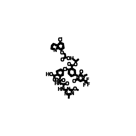 CC(C)OC(=O)c1cc(-n2c(=O)cc(C(F)(F)F)n(C)c2=O)ccc1Cl.COc1nc(C)nc(NC(=O)NS(=O)(=O)c2ccccc2C(=O)O)n1.O=C(O)COc1ccc(Cl)c2cccnc12